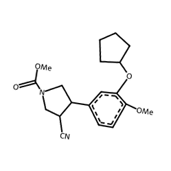 COC(=O)N1CC(C#N)C(c2ccc(OC)c(OC3CCCC3)c2)C1